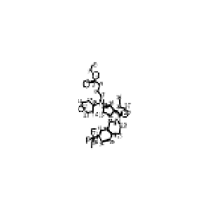 CCOC(=O)CCCN(C1CCOCC1)[C@@H]1CC[C@@](C(=O)N2CCc3ccc(C(F)(F)F)cc3C2)(C(C)C)C1